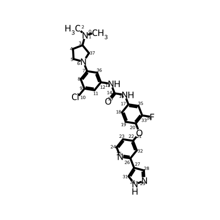 CN(C)C1CCN(c2cc(Cl)cc(NC(=O)Nc3ccc(Oc4ccnc(-c5cn[nH]c5)c4)c(F)c3)c2)C1